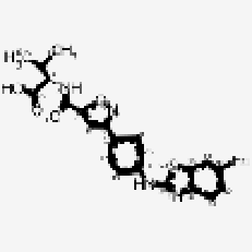 CC(C)[C@H](NC(=O)c1cc(-c2ccc(Nc3nc4ccc(F)cc4s3)cc2)no1)C(=O)O